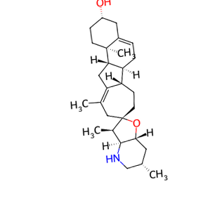 CC1=C2C[C@H]3[C@@H](CC=C4C[C@@H](O)CC[C@@]43C)[C@@H]2CC[C@@]2(C1)O[C@@H]1C[C@H](C)CN[C@H]1[C@H]2C